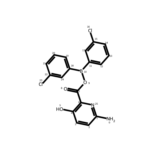 Nc1ccc(O)c(C(=O)OB(c2cccc(Cl)c2)c2cccc(Cl)c2)n1